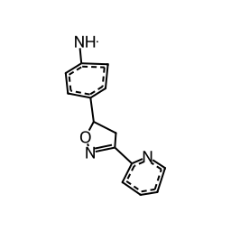 [NH]c1ccc(C2CC(c3ccccn3)=NO2)cc1